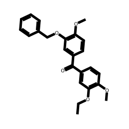 CCOc1cc(C(=O)c2ccc(OC)c(OCc3ccccc3)c2)ccc1OC